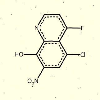 O=[N+]([O-])c1cc(Cl)c2c(F)ccnc2c1O